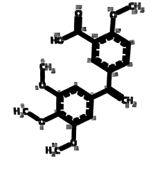 C=C(c1cc(OC)c(OC)c(OC)c1)c1ccc(OC)c(C(=O)O)c1